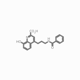 O=C(NCCCc1cc(C(=O)O)nc2c(O)cccc12)c1ccccc1